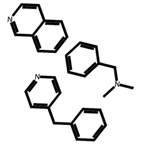 CN(C)Cc1ccccc1.c1ccc(Cc2ccncc2)cc1.c1ccc2cnccc2c1